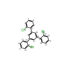 Clc1ccccc1-c1cc(-c2ccccc2Br)cc(-c2ccccc2Br)c1